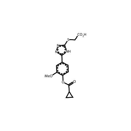 COc1cc(-c2nnc(SCC(=O)O)[nH]2)ccc1OC(=O)C1CC1